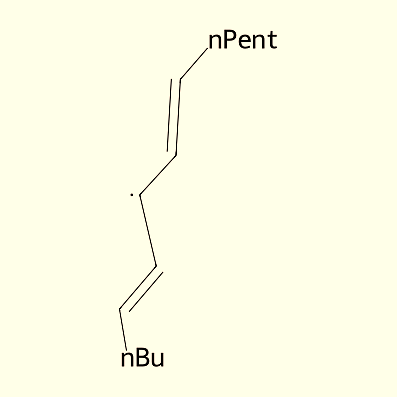 CCCCC=C[CH]C=CCCCCC